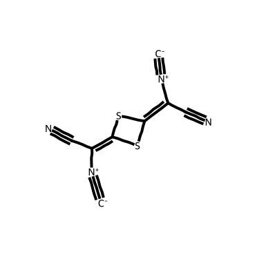 [C-]#[N+]C(C#N)=c1sc(=C(C#N)[N+]#[C-])s1